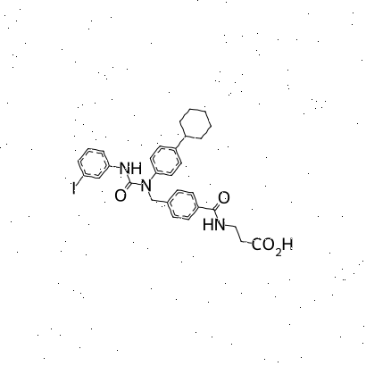 O=C(O)CCNC(=O)c1ccc(CN(C(=O)Nc2cccc(I)c2)c2ccc(C3CCCCC3)cc2)cc1